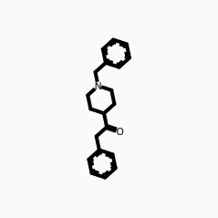 O=C(Cc1ccccc1)C1CCN(Cc2ccccc2)CC1